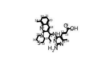 CCC(Nc1nc(N)nc(C)c1/C=C/C(=O)O)c1cc2cccc(C)c2nc1N1CCSCC1